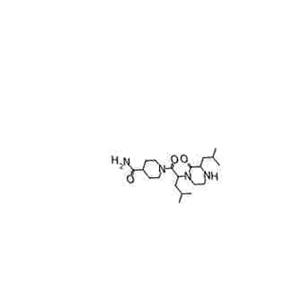 CC(C)CC1NCCN(C(CC(C)C)C(=O)N2CCC(C(N)=O)CC2)C1=O